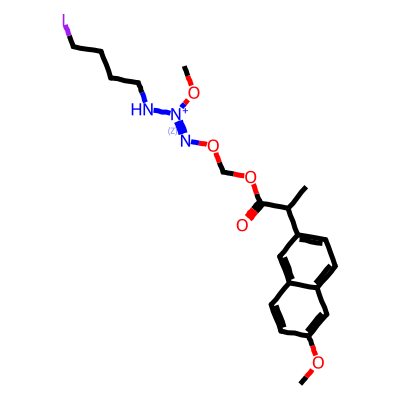 COc1ccc2cc(C(C)C(=O)OCO/N=[N+](/NCCCCI)OC)ccc2c1